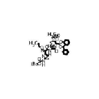 C=CCO/N=C(\C(=O)N[C@@H]1C(=O)N2C(C(=O)OC(c3ccccc3)c3ccccc3)=C(OS(C)(=O)=O)CS[C@H]12)c1csc(NC(=O)OC(C)(C)C)n1